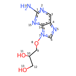 Nc1ncc2ncn(OCC(O)CO)c2n1